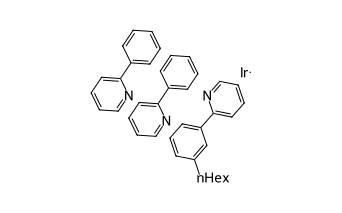 CCCCCCc1cccc(-c2ccccn2)c1.[Ir].c1ccc(-c2ccccn2)cc1.c1ccc(-c2ccccn2)cc1